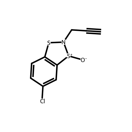 C#CCN1Sc2ccc(Cl)cc2[S+]1[O-]